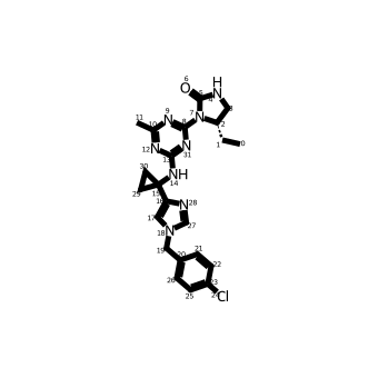 CC[C@H]1CNC(=O)N1c1nc(C)nc(NC2(c3cn(Cc4ccc(Cl)cc4)cn3)CC2)n1